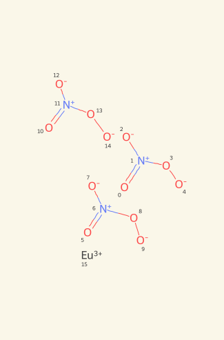 O=[N+]([O-])O[O-].O=[N+]([O-])O[O-].O=[N+]([O-])O[O-].[Eu+3]